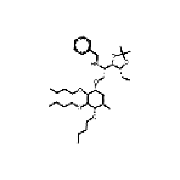 CCCCOC1C(OCCCC)[C@@H](OC[C@H](NCc2ccccc2)[C@@H]2OC(C)(C)O[C@@H]2CC)CC(C)[C@@H]1OCCCC